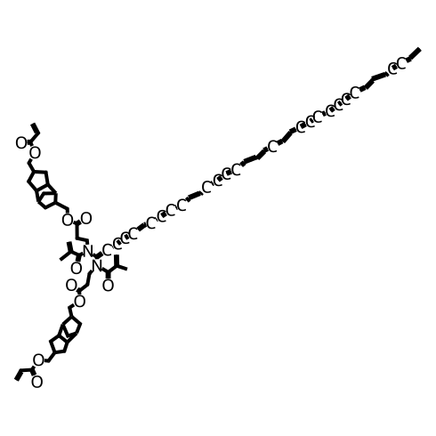 C=C=C=C=C=C=C=C=C=C=C=C=C=C=C=C=C=C=C=C=C=C=C=C=C=C=C=C=C=C=C=C=C=C=C=C(N(CCC(=O)OCC1CC2CC1C1CC(COC(=O)C=C)CC21)C(=O)C(=C)C)N(CCC(=O)OCC1CC2CC1C1CC(COC(=O)C=C)CC21)C(=O)C(=C)C